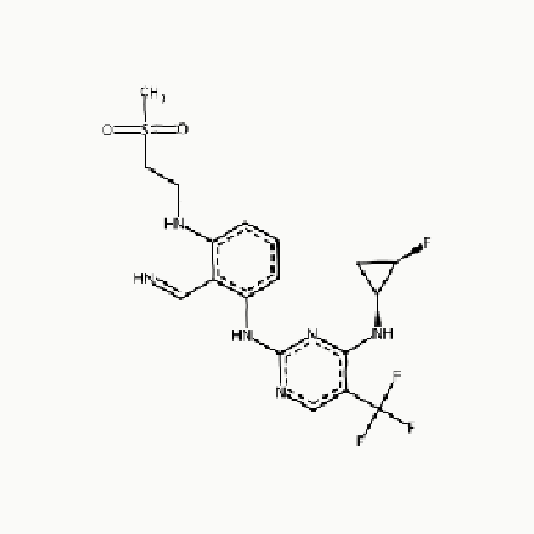 CS(=O)(=O)CCNc1cccc(Nc2ncc(C(F)(F)F)c(N[C@H]3C[C@H]3F)n2)c1C=N